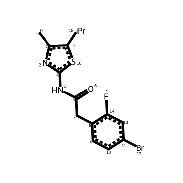 Cc1nc(NC(=O)Cc2ccc(Br)cc2F)sc1C(C)C